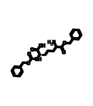 NC(CCC[C@H](NC(=O)OCc1ccccc1)C(=O)O)C(=O)OCc1ccccc1